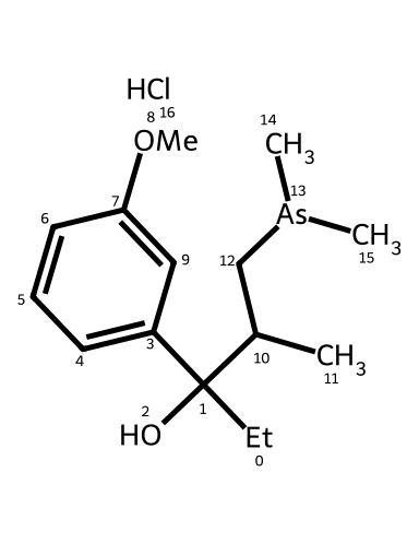 CCC(O)(c1cccc(OC)c1)C(C)C[As](C)C.Cl